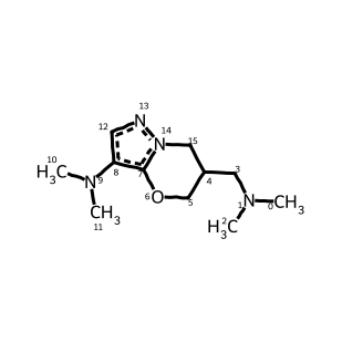 CN(C)CC1COc2c(N(C)C)cnn2C1